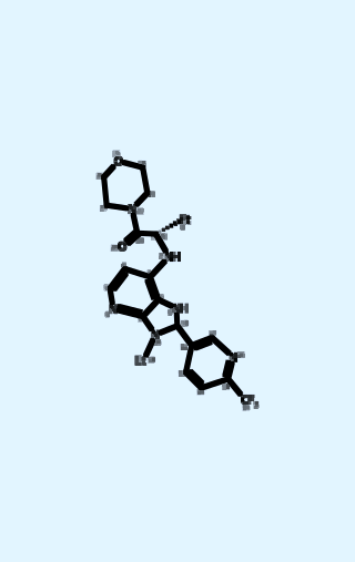 CC[C@H](Nc1ccnc2c1NC(c1ccc(C(F)(F)F)nc1)N2CC)C(=O)N1CCOCC1